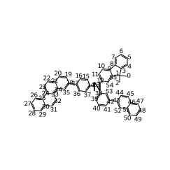 CC1(C)c2ccccc2-c2ccc(N(c3ccc(-c4ccc5ccc6c7ccccc7ccc6c5c4)cc3)c3cccc(-c4ccc5ccccc5c4)c3)cc21